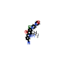 CC1(C)C2=C(Cc3ccc(C#N)cc3N2)C(=O)c2cc(Cl)c(N3CCC(N4CCOCC4)CC3)cc21